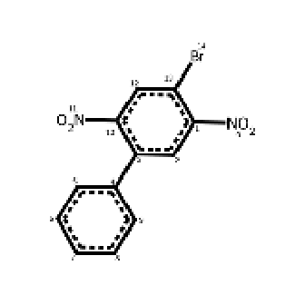 O=[N+]([O-])c1cc(-c2ccccc2)c([N+](=O)[O-])cc1Br